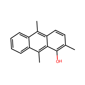 Cc1ccc2c(C)c3ccccc3c(C)c2c1O